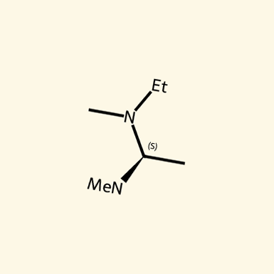 CCN(C)[C@@H](C)NC